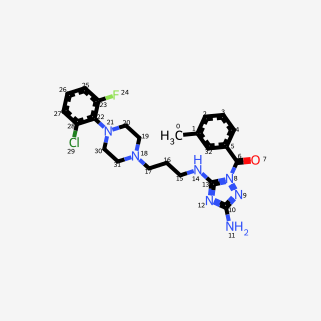 Cc1cccc(C(=O)n2nc(N)nc2NCCCN2CCN(c3c(F)cccc3Cl)CC2)c1